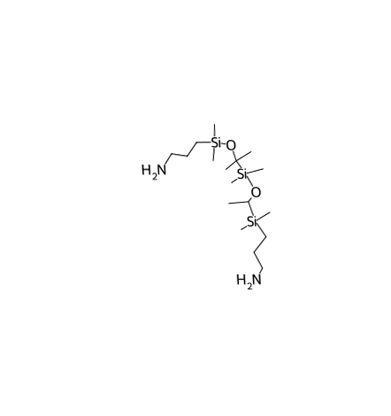 CC(O[Si](C)(C)C(C)(C)O[Si](C)(C)CCCN)[Si](C)(C)CCCN